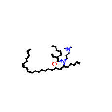 C=CCCCC(CCCCCCCC/C=C\C/C=C\CCCCC)N(CCCN(C)C)C(=O)C(CC)CCCCC